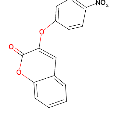 O=c1oc2ccccc2cc1Oc1ccc([N+](=O)[O-])cc1